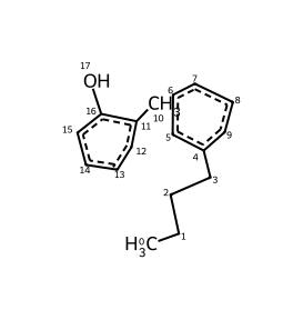 CCCCc1ccccc1.Cc1ccccc1O